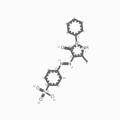 Cc1[nH]n(-c2ccccc2)c(=O)c1N=Nc1ccc(S(=O)(=O)Cl)cc1